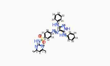 Cc1cc(C)nc(NS(=O)(=O)c2ccc(N=Nc3c(Nc4ccccc4)n[nH]c3Nc3ccccc3)cc2)n1